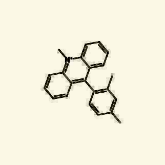 Cc1ccc(-c2c3ccccc3[n+](C)c3ccccc23)c(C)c1